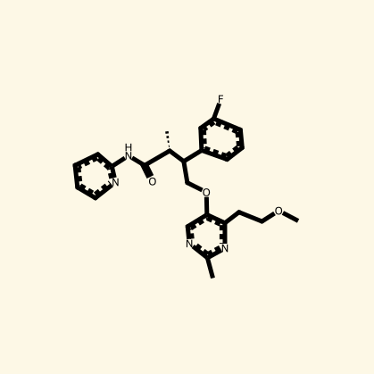 COCCc1nc(C)ncc1OCC(c1cccc(F)c1)[C@@H](C)C(=O)Nc1ccccn1